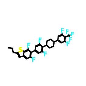 CCCc1cc2cc(F)c(-c3cc(F)c(C4CCC(c5cc(F)c(C(F)(F)F)c(F)c5)CC4)c(F)c3)c(F)c2s1